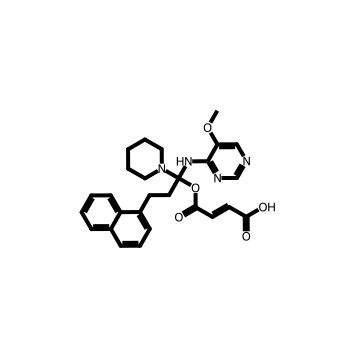 COc1cncnc1NC(CCc1cccc2ccccc12)(OC(=O)/C=C/C(=O)O)N1CCCCC1